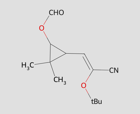 CC(C)(C)OC(C#N)=CC1C(OC=O)C1(C)C